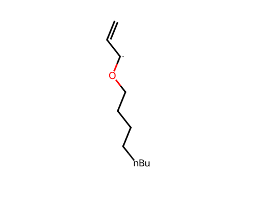 C=C[CH]OCCCCCCCC